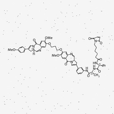 COc1ccc(C2=CN3C(=O)c4cc(OC)c(OCCCOc5cc6c(cc5OC)C(=O)N5C=C(c7cccc(NC(=O)[C@H](C)NC(=O)[C@@H](NC(=O)CCCCCN8C(=O)C=CC8=O)C(C)C)c7)CC5C=N6)cc4N=C[C@@H]3C2)cc1